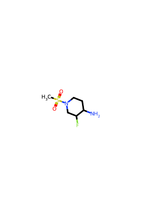 CS(=O)(=O)N1CCC(N)C(F)C1